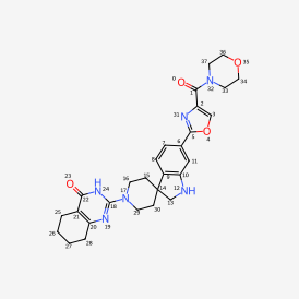 O=C(c1coc(-c2ccc3c(c2)NCC32CCN(c3nc4c(c(=O)[nH]3)CCCC4)CC2)n1)N1CCOCC1